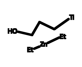 C[CH2][Zn][CH2]C.OCC[CH2][Ti]